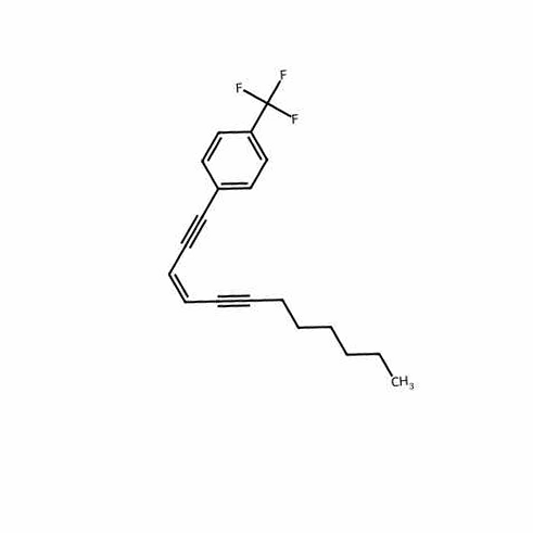 CCCCCCC#C/C=C\C#Cc1ccc(C(F)(F)F)cc1